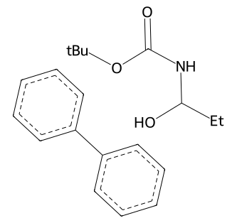 CCC(O)NC(=O)OC(C)(C)C.c1ccc(-c2ccccc2)cc1